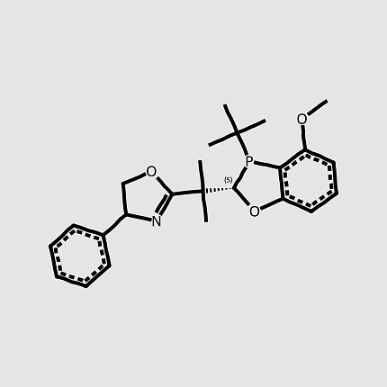 COc1cccc2c1P(C(C)(C)C)[C@@H](C(C)(C)C1=NC(c3ccccc3)CO1)O2